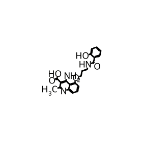 Cc1nc2cccc(OCCCNC(=O)c3ccccc3O)c2c(N)c1C(=O)O